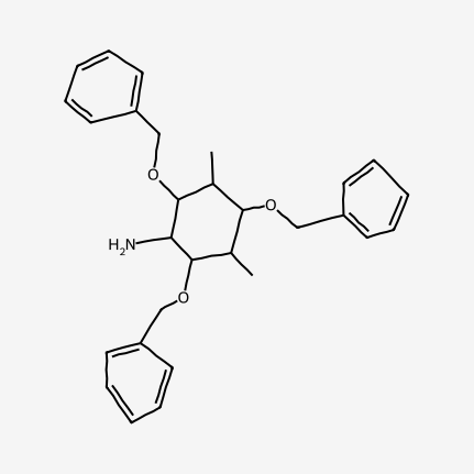 CC1C(OCc2ccccc2)C(C)C(OCc2ccccc2)C(N)C1OCc1ccccc1